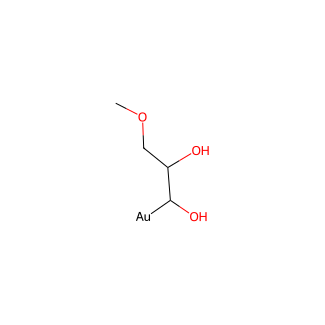 COCC(O)[CH](O)[Au]